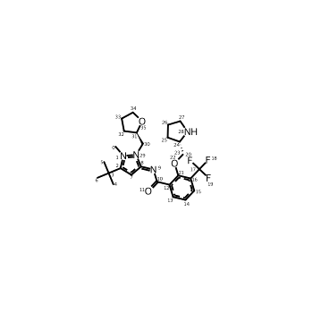 Cn1c(C(C)(C)C)c/c(=N\C(=O)c2cccc(C(F)(F)F)c2OC[C@@H]2CCCN2)n1C[C@H]1CCCO1